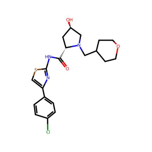 O=C(Nc1nc(-c2ccc(Cl)cc2)cs1)[C@@H]1C[C@@H](O)CN1CC1CCOCC1